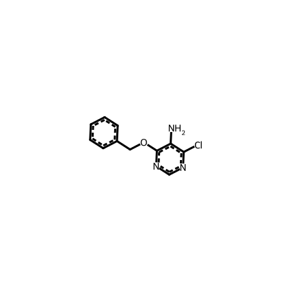 Nc1c(Cl)ncnc1OCc1ccccc1